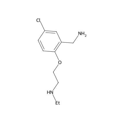 CCNCCOc1ccc(Cl)cc1CN